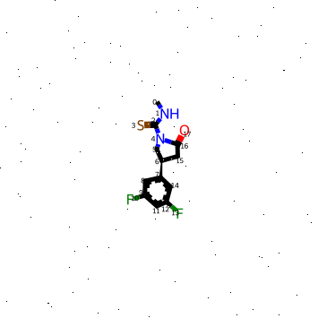 CNC(=S)N1C[C@H](c2cc(F)cc(F)c2)CC1=O